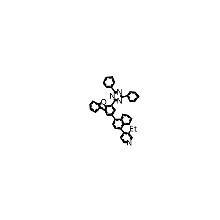 CCc1cnccc1-c1ccc(-c2cc(-c3nc(-c4ccccc4)nc(-c4ccccc4)n3)c3oc4ccccc4c3c2)c2ccccc12